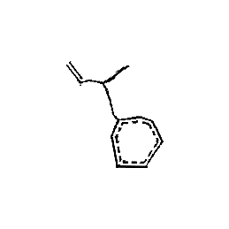 C=[C]C(C)c1ccccc1